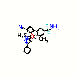 CC1=CC(C(F)(F)CN)=CC=C(c2ccc(C#N)cc2Oc2cc(-c3ccccc3)nn2C)C1C